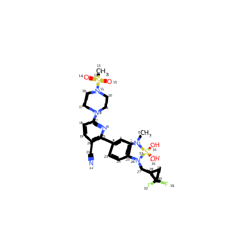 CN1c2cc(-c3nc(N4CCN(S(C)(=O)=O)CC4)ccc3C#N)ccc2N(CC2CC2(F)F)S1(O)O